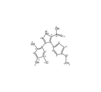 COc1ccc(-c2c(-c3cc(Cl)c(O)cc3O)n[nH]c2C(=O)O)cc1